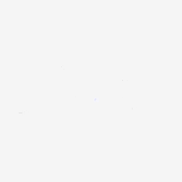 CCOC(=O)/C=C/c1ccc(O)c2ccsc12